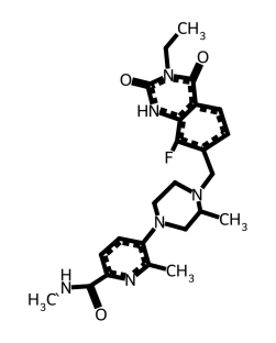 CCn1c(=O)[nH]c2c(F)c(CN3CCN(c4ccc(C(=O)NC)nc4C)CC3C)ccc2c1=O